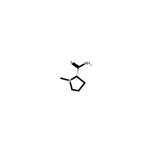 CN1CCC[C@H]1C(N)=S